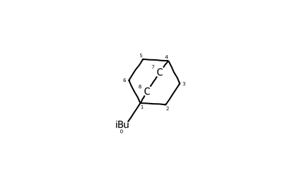 [CH2]C(CC)C12CCC(CC1)CC2